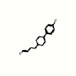 F/C=C/CCC1CCC(c2ccc(F)cc2)CC1